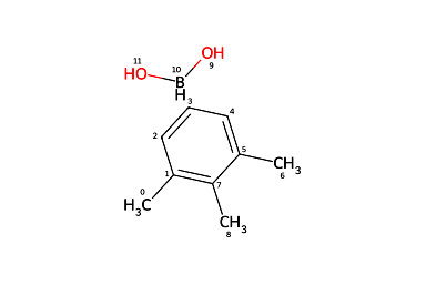 Cc1cccc(C)c1C.OBO